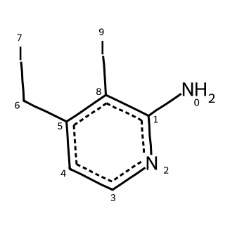 Nc1nccc(CI)c1I